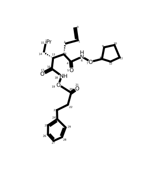 C=CC[C@H](C(=O)NOC1CCCC1)[C@@H](CC(C)C)C(=O)NOC(=O)CCc1ccccc1